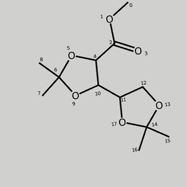 COC(=O)C1OC(C)(C)OC1C1COC(C)(C)O1